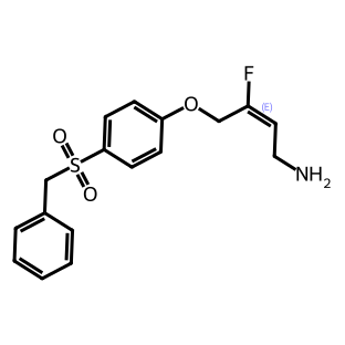 NC/C=C(/F)COc1ccc(S(=O)(=O)Cc2ccccc2)cc1